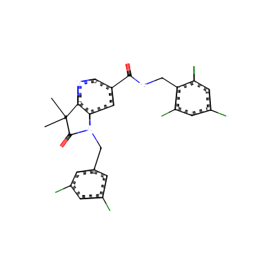 CC1(C)C(=O)N(Cc2cc(F)cc(F)c2)c2cc(C(=O)NCc3c(F)cc(F)cc3F)cnc21